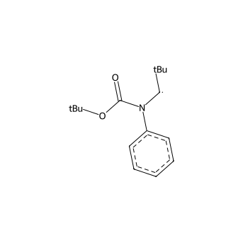 CC(C)(C)[CH]N(C(=O)OC(C)(C)C)c1ccccc1